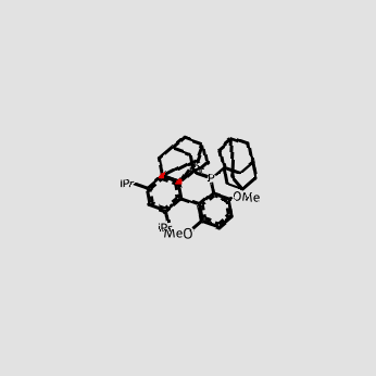 COc1ccc(OC)c(P(C23CC4CC(CC(C4)C2)C3)C23CC4CC(CC(C4)C2)C3)c1-c1c(C(C)C)cc(C(C)C)cc1C(C)C